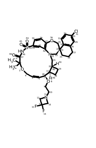 CC1(C)OCC=C[C@H](OCCN2CC(F)(F)C2)[C@@H]2CC[C@H]2CN2C[C@@]3(CCCc4cc(Cl)ccc43)COc3ccc(cc32)S(=O)(=O)NC1=O